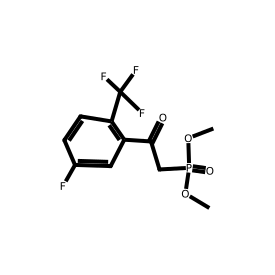 COP(=O)(CC(=O)c1cc(F)ccc1C(F)(F)F)OC